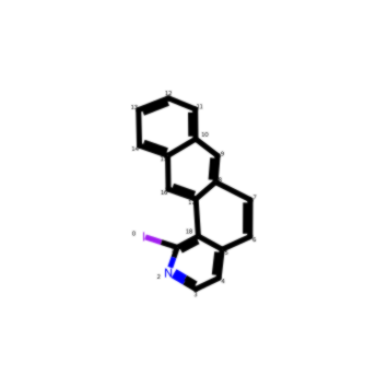 Ic1nccc2ccc3cc4ccccc4cc3c12